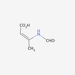 C/C(=C/C(=O)O)N[C]=O